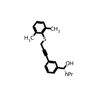 CCC[C@@H](O)c1cccc(C#CCSc2c(C)cccc2C)c1